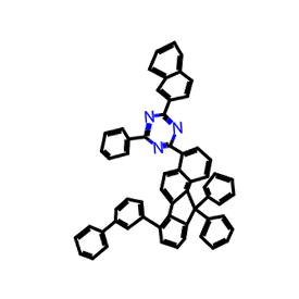 c1ccc(-c2cccc(-c3cccc4c3-c3ccc5c(-c6nc(-c7ccccc7)nc(-c7ccc8ccccc8c7)n6)cccc5c3C4(c3ccccc3)c3ccccc3)c2)cc1